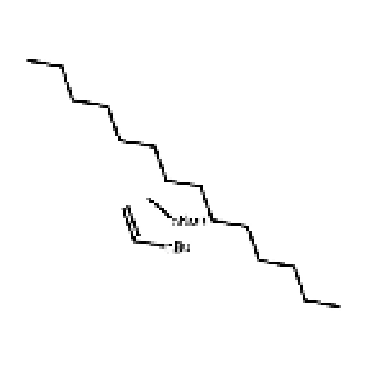 C=CCCCC.CCCCCCCCCC.CCCCCCCCCCCCCC